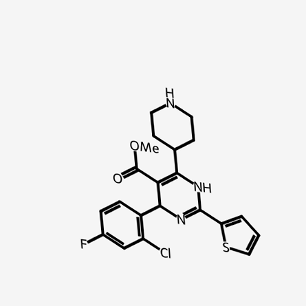 COC(=O)C1=C(C2CCNCC2)NC(c2cccs2)=NC1c1ccc(F)cc1Cl